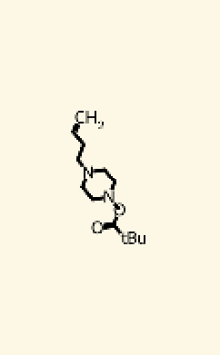 C=CCCN1CCN(OC(=O)C(C)(C)C)CC1